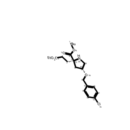 CCOC(=O)CC[C@@]1(C(=O)OC(C)(C)C)C[C@@H](OCc2ccc(Cl)cc2)CN1